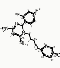 NC1=NC(c2ccc(F)cc2F)N(CCCOc2ccc(Cl)cc2)C(N)=N1